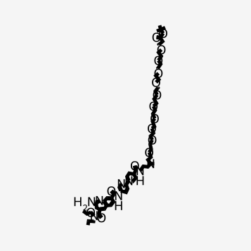 CCCN(OCC)C(=O)C1=Cc2ccc(C(=O)Nc3ccc(N4CCC(C(=O)NCCN(C)CCOCCOCCOCCOCCOCCOCCOCCOCCOCCOCCC(=O)OC(C)(C)C)CC4)nc3)cc2N=C(N)C1